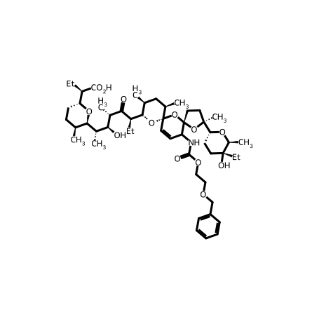 CC[C@@H](C(=O)[C@@H](C)[C@@H](O)[C@H](C)[C@@H]1O[C@@H]([C@@H](CC)C(=O)O)CC[C@@H]1C)[C@H]1O[C@]2(C=CC(NC(=O)OCCOCc3ccccc3)[C@]3(CC[C@@](C)([C@H]4CC[C@](O)(CC)[C@H](C)O4)O3)O2)[C@H](C)C[C@@H]1C